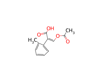 CC(=O)OC=C(C(=O)O)c1ccccc1C